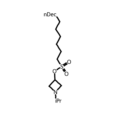 CCCCCCCCCCCCCCCCS(=O)(=O)OC1CN(C(C)C)C1